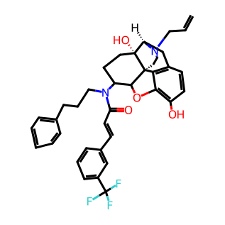 C=CCN1CC[C@]23c4c5ccc(O)c4OC2C(N(CCCc2ccccc2)C(=O)/C=C/c2cccc(C(F)(F)F)c2)CC[C@@]3(O)[C@H]1C5